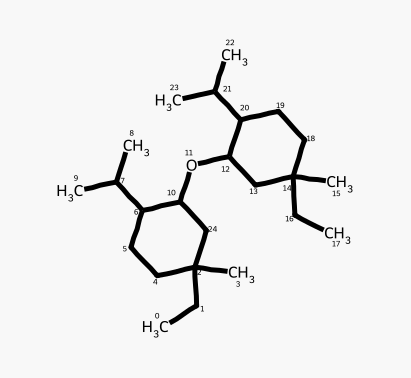 CCC1(C)CCC(C(C)C)C(OC2CC(C)(CC)CCC2C(C)C)C1